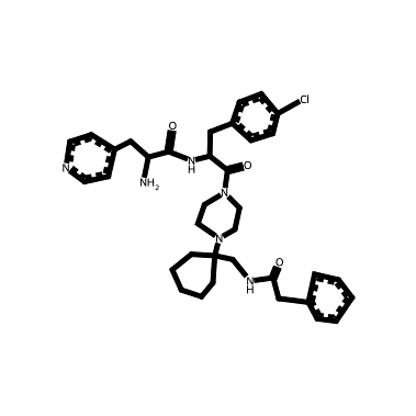 NC(Cc1ccncc1)C(=O)NC(Cc1ccc(Cl)cc1)C(=O)N1CCN(C2(CNC(=O)Cc3ccccc3)CCCCC2)CC1